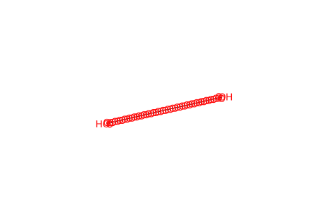 O=C(O)CCC(=O)OCCOCCOCCOCCOCCOCCOCCOCCOCCOCCOCCOCCOCCOCCOCCOCCOCCOCCOCCOCCOCCOCCOCCOCCOCCOCCOCCOCCOCCOCCOCCOCCOCCOCCOCCOCCOCCOCCOCCOCCOCCOCCOCCOCCOCCOC(=O)CCC(=O)O